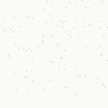 CCC(C)(C(c1ccccc1)P(c1ccccc1)c1ccccc1)C(c1ccccc1)P(c1ccccc1)c1ccccc1